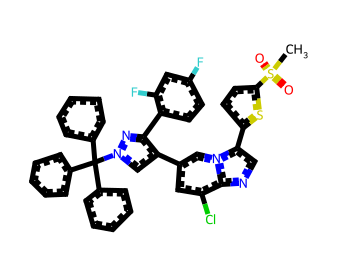 CS(=O)(=O)c1ccc(-c2cnc3c(Cl)cc(-c4cn(C(c5ccccc5)(c5ccccc5)c5ccccc5)nc4-c4ccc(F)cc4F)cn23)s1